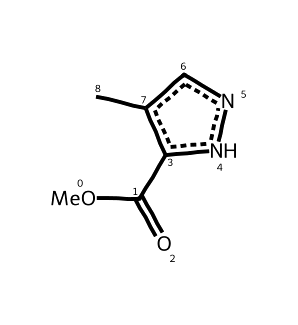 COC(=O)c1[nH]ncc1C